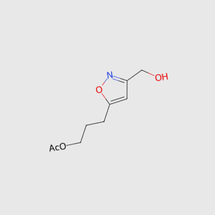 CC(=O)OCCCc1cc(CO)no1